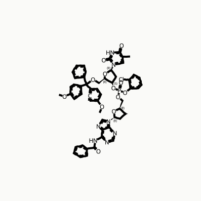 COc1ccc(C(OC[C@H]2O[C@@H](n3cc(C)c(=O)[nH]c3=O)C[C@@H]2OP(=O)(OC[C@H]2[CH]C[C@H](n3cnc4c(NC(=O)c5ccccc5)ncnc43)O2)Oc2ccccc2Cl)(c2ccccc2)c2ccc(OC)cc2)cc1